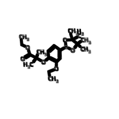 CCOC(=O)C(C)(C)Oc1ccc(B2OC(C)(C)C(C)(C)O2)cc1OCC